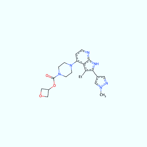 CCc1c(-c2cnn(C)c2)[nH]c2nccc(N3CCN(C(=O)OC4COC4)CC3)c12